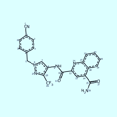 N#Cc1ccc(Cn2cc(NC(=O)c3cc(C(N)=O)c4ccccc4n3)c(C(F)(F)F)n2)cc1